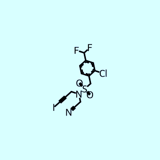 N#CCN(CC#CI)S(=O)(=O)Cc1ccc(C(F)F)cc1Cl